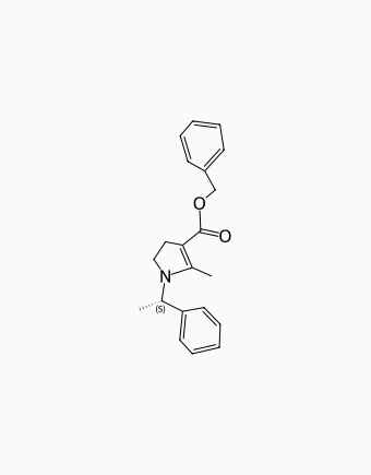 CC1=C(C(=O)OCc2ccccc2)CCN1[C@@H](C)c1ccccc1